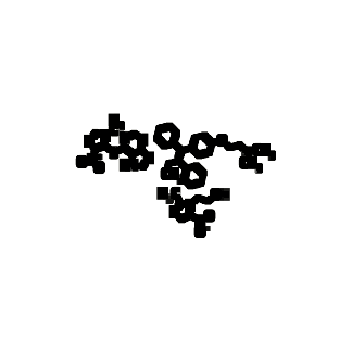 CC/C(=C(\c1ccccc1)c1ccc(OCCN(C)C)cc1)c1ccccc1.Cc1ncc([N+](=O)[O-])n1CCO.Cn1cnc([N+](=O)[O-])c1Sc1ncnc2nc[nH]c12